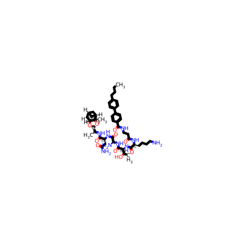 CCCCc1ccc(-c2ccc(C(=O)NCCC(=O)N[C@@H](CCCCN)C(=O)N[C@H](C(=O)N[C@@H](N)C(=O)N[C@@H](CC(N)=O)C(=O)N[C@H](C)B3O[C@H]4C[C@H]5C[C@H](C5(C)C)[C@@]4(C)O3)C(C)O)cc2)cc1